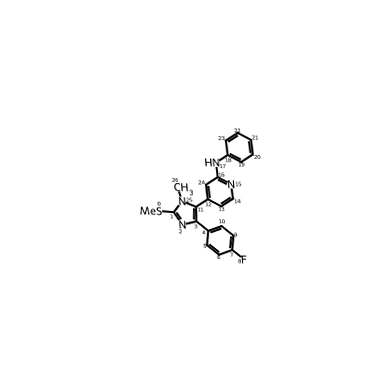 CSc1nc(-c2ccc(F)cc2)c(-c2ccnc(Nc3ccccc3)c2)n1C